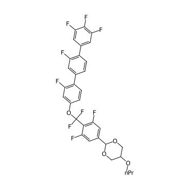 CCCOC1COC(c2cc(F)c(C(F)(F)Oc3ccc(-c4ccc(-c5cc(F)c(F)c(F)c5)c(F)c4)c(F)c3)c(F)c2)OC1